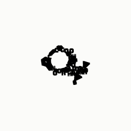 CC[C@@H]1C[C@]1(NC(=O)[C@@H]1C[C@@H]2CN1C(=O)C(C(C)(C)C)NC(=O)OCC(C)(C)CCCCc1cccc3c1CN(C3)C(=O)O2)C(=O)NS(=O)(=O)C1CC1